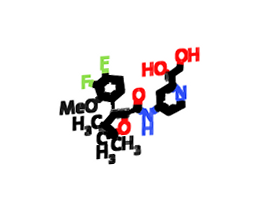 COc1c([C@@H]2[C@@H](C(=O)Nc3ccnc([C@H](O)CO)c3)OC(C)(C)[C@H]2C)ccc(F)c1F